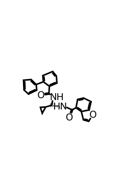 O=C(N[C@H](CNC(=O)c1cccc2occc12)C1CC1)c1ccccc1-c1ccccc1